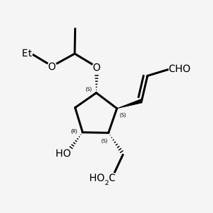 CCOC(C)O[C@H]1C[C@@H](O)[C@@H](CC(=O)O)[C@@H]1C=CC=O